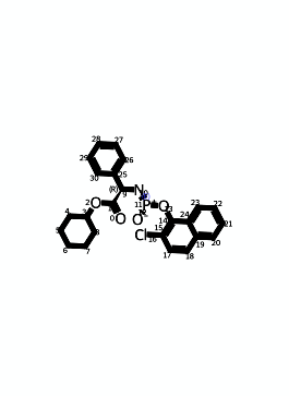 O=C(OC1CCCCC1)[C@H](/N=[P+](\[O-])Oc1c(Cl)ccc2ccccc12)c1ccccc1